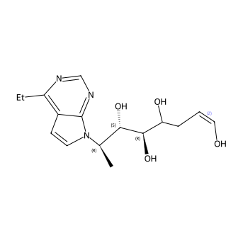 CCc1ncnc2c1ccn2[C@H](C)[C@H](O)[C@H](O)C(O)C/C=C\O